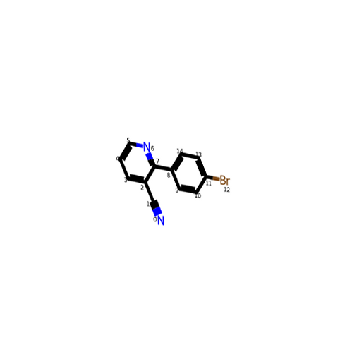 N#Cc1cccnc1-c1ccc(Br)cc1